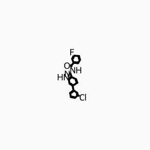 O=C(Nc1n[nH]c2cc(-c3cccc(Cl)c3)ccc12)c1cccc(F)c1